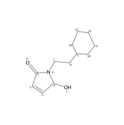 O=C1C=CC(O)N1CCC1CCCCC1